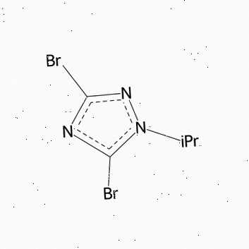 CC(C)n1nc(Br)nc1Br